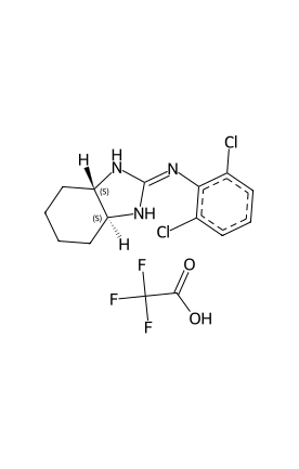 Clc1cccc(Cl)c1N=C1N[C@H]2CCCC[C@@H]2N1.O=C(O)C(F)(F)F